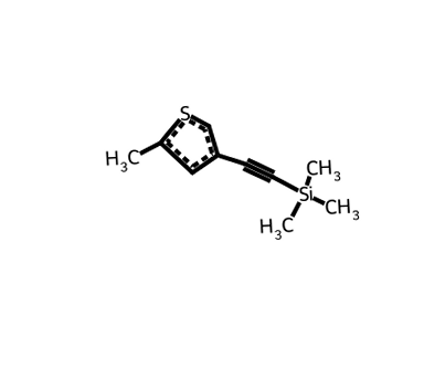 Cc1cc(C#C[Si](C)(C)C)cs1